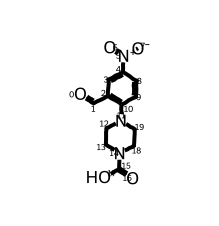 O=Cc1cc([N+](=O)[O-])ccc1N1CCN(C(=O)O)CC1